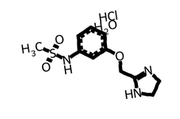 CS(=O)(=O)Nc1cccc(OCC2=NCCN2)c1.Cl.O